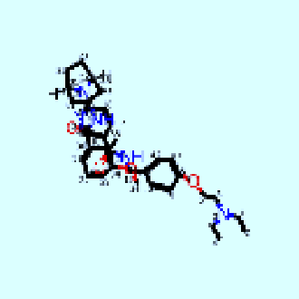 CCN(CC)CCOc1ccc(CNC(=O)c2ccc(N3[C@@H]4CC[C@H]3C[C@@H](NC(=O)c3cccc(OC)c3C)C4)nc2)cc1